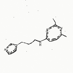 Cc1cc(NCCCn2ccnc2)nc(C)n1